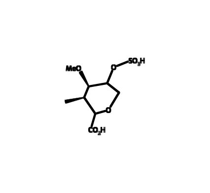 CO[C@H]1C(OS(=O)(=O)O)COC(C(=O)O)[C@H]1C